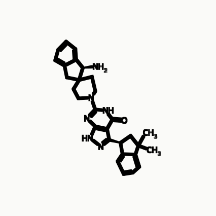 CC1(C)C[C@H](c2n[nH]c3nc(N4CCC5(CC4)Cc4ccccc4[C@H]5N)[nH]c(=O)c23)c2ccccc21